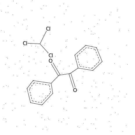 ClC(Cl)Cl.O=C(C(=O)c1ccccc1)c1ccccc1